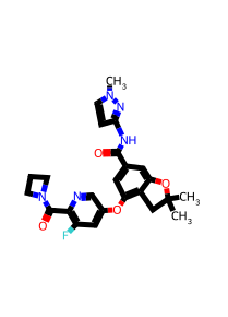 Cn1ccc(NC(=O)c2cc(Oc3cnc(C(=O)N4CCC4)c(F)c3)c3c(c2)OC(C)(C)C3)n1